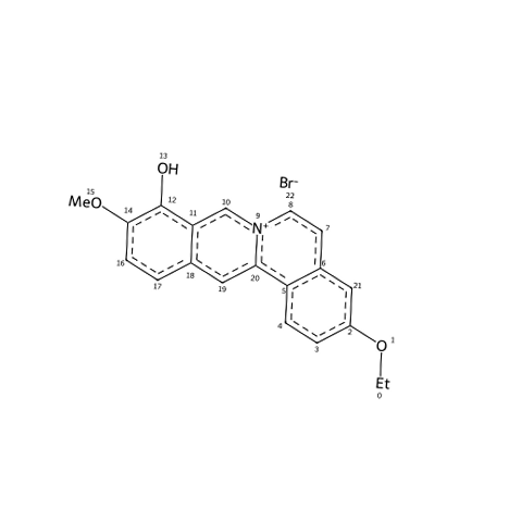 CCOc1ccc2c(cc[n+]3cc4c(O)c(OC)ccc4cc23)c1.[Br-]